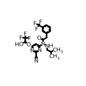 CC(C)CNN(C(=O)Cc1cccc(C(F)(F)F)c1)c1ccnc(C#N)n1.O=C(O)C(F)(F)F